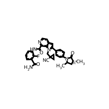 CC1C[C@@H](C)C(=O)N1c1ccc(-c2cc3ccnc(C(=O)Nc4cccc(C(N)=O)c4F)c3n2CC2(C#N)CC2)cc1